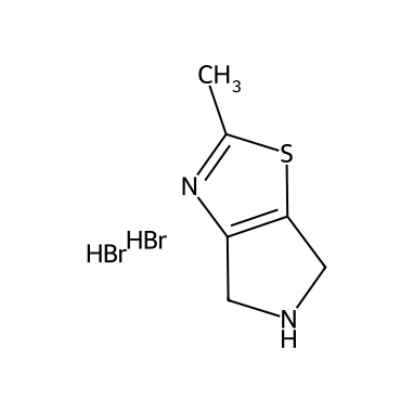 Br.Br.Cc1nc2c(s1)CNC2